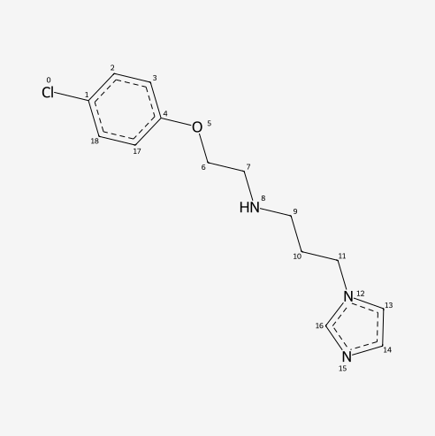 Clc1ccc(OCCNCCCn2ccnc2)cc1